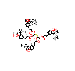 CC(C)(C)c1cc(CCC(=O)OCC(OC(=O)CCc2ccc(O)c(C(C)(C)C)c2)SC(COC(=O)CCc2ccc(O)c(C(C)(C)C)c2)OC(=O)CCc2ccc(O)c(C(C)(C)C)c2)ccc1O